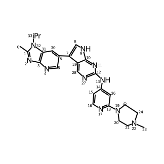 Cc1nc2ncc(-c3c[nH]c4nc(Nc5ccnc(N6CCN(C)CC6)c5)ncc34)cc2n1C(C)C